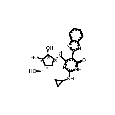 O=c1[nH]c(NC2CC2)nc(N[C@@H]2C[C@H](CO)[C@@H](O)[C@H]2O)c1-c1nc2ccccc2s1